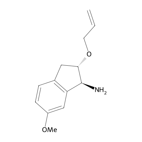 C=CCO[C@H]1Cc2ccc(OC)cc2[C@@H]1N